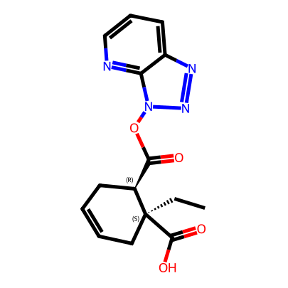 CC[C@]1(C(=O)O)CC=CC[C@H]1C(=O)On1nnc2cccnc21